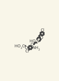 Nc1cc(Cl)c(OCC(=O)O)cc1OC[C@H](O)CN1CCC2(CC1)Cc1cc(Cl)ccc1O2